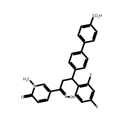 Cn1cc(/C(CC(c2ccc(-c3ccc(C(=O)O)cc3)cc2)c2ccc(F)cc2F)=N/O)ccc1=O